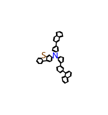 c1cc(-c2cccc(N(c3ccc(-c4ccc5ccccc5c4)cc3)c3ccc4c(c3)sc3ccccc34)c2)cc(-c2cccc3ccccc23)c1